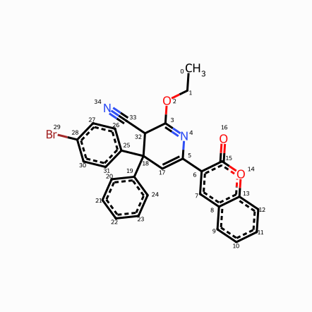 CCOC1=NC(c2cc3ccccc3oc2=O)=CC(c2ccccc2)(c2ccc(Br)cc2)C1C#N